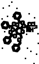 N=C(OC1OC(COCc2ccccc2)C(OC(=O)c2ccccc2)C(OC(=O)c2ccccc2)C1OC(=O)c1ccccc1)C(Cl)(Cl)Cl